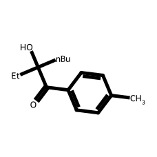 CCCCC(O)(CC)C(=O)c1ccc(C)cc1